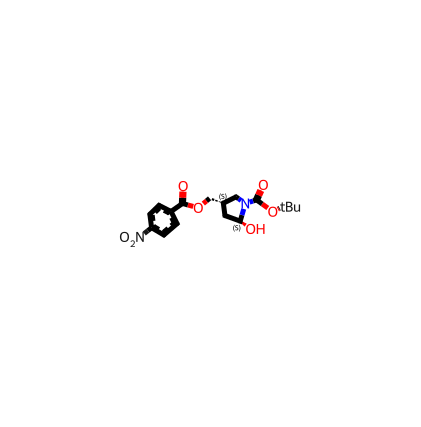 CC(C)(C)OC(=O)N1C[C@@H](COC(=O)c2ccc([N+](=O)[O-])cc2)C[C@@H]1O